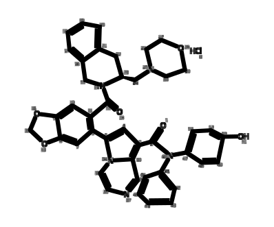 Cl.O=C(c1cc(-c2cc3c(cc2C(=O)N2Cc4ccccc4C[C@H]2CN2CCOCC2)OCO3)n2ccncc12)N(c1ccccc1)c1ccc(O)cc1